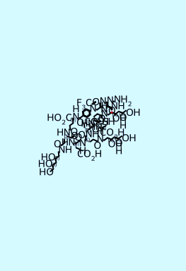 Nc1nc2ncc(CN(C(=O)C(F)(F)F)c3ccc(C(=O)N[C@H](CCC(=O)N[C@@H](CCC(=O)NCC[C@@H](O)C[C@H](O)CO)C(=O)N[C@H](CCC(=O)O)C(=O)N[C@@H](CCC(=O)NCC[C@@H](O)C[C@H](O)CO)C(=O)N[C@H](CCC(=O)O)C(=O)N[C@@H](CCC(=O)NCC[C@@H](O)C[C@H](O)CO)C(=O)N[C@H](CS)C(=O)O)C(=O)O)cc3)nc2c(=O)[nH]1